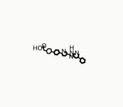 O=C(O)CC1CCC(c2ccc(-c3ccc(-c4nc5cc(-c6ccccc6)cnc5[nH]4)cn3)cc2)CC1